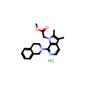 COC(=O)Cn1c(C)c(C)c2ccnc(N3CCc4ccccc4C3)c21.Cl